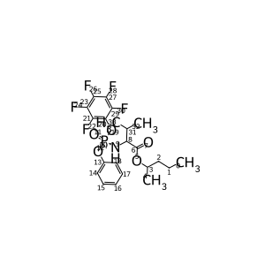 CCCC(C)OC(=O)C(N[P@](=O)(Oc1ccccc1)Oc1c(F)c(F)c(F)c(F)c1F)C(C)C